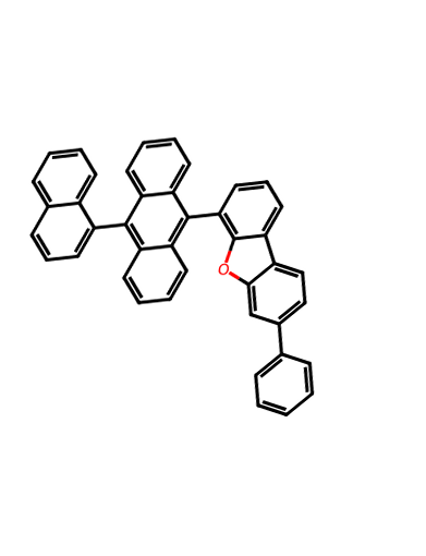 c1ccc(-c2ccc3c(c2)oc2c(-c4c5ccccc5c(-c5cccc6ccccc56)c5ccccc45)cccc23)cc1